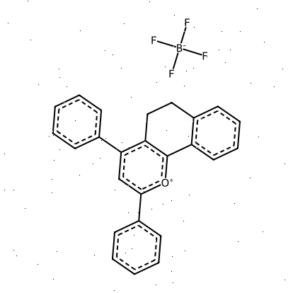 F[B-](F)(F)F.c1ccc(-c2cc(-c3ccccc3)c3c([o+]2)-c2ccccc2CC3)cc1